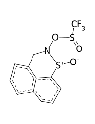 O=S(ON1Cc2cccc3cccc(c23)[S+]1[O-])C(F)(F)F